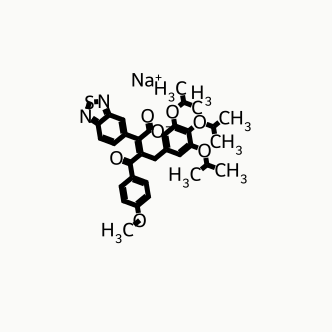 COc1ccc(C(=O)C(Cc2cc(OC(C)C)c(OC(C)C)c(OC(C)C)c2)=C(C(=O)[O-])c2ccc3nsnc3c2)cc1.[Na+]